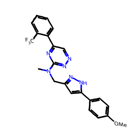 COc1ccc(-c2cc(CN(C)c3nncc(-c4ccccc4C(F)(F)F)n3)n[nH]2)cc1